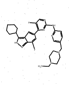 CCN1CCN(Cc2ccc(Nc3ncc(F)c(-c4cc(F)c5n[nH]c(C6CCCCC6)c5c4)n3)nc2)CC1